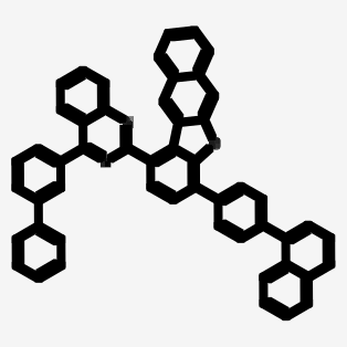 c1ccc(-c2cccc(-c3nc(-c4ccc(-c5ccc(-c6cccc7ccccc67)cc5)c5oc6cc7ccccc7cc6c45)nc4ccccc34)c2)cc1